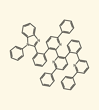 c1ccc(-c2cccc(-c3ccccc3-c3ccc(-c4ccccc4)nc3-c3nc(-c4ccccc4)ccc3-c3ccccc3-c3nc4ccccc4n3-c3ccccc3)n2)cc1